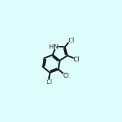 Clc1ccc2[nH]c(Cl)c(Cl)c2c1Cl